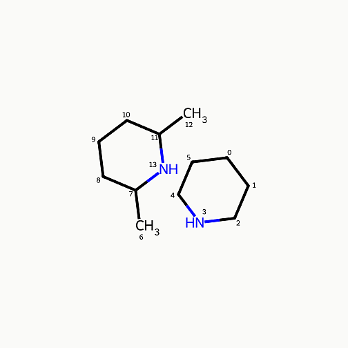 C1CCNCC1.CC1CCCC(C)N1